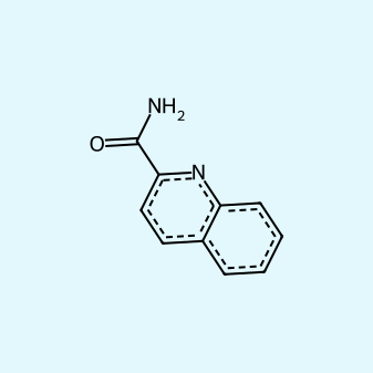 NC(=O)c1ccc2ccccc2n1